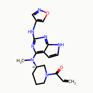 C=CC(=O)N1CCC[C@@H](N(C)c2nc(Nc3cnoc3)nc3[nH]ccc23)C1